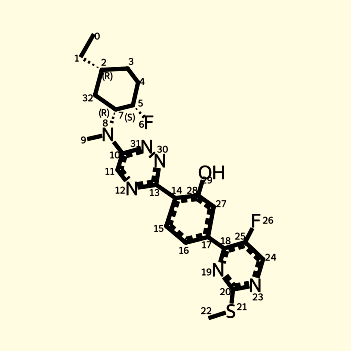 CC[C@@H]1CC[C@H](F)[C@H](N(C)c2cnc(-c3ccc(-c4nc(SC)ncc4F)cc3O)nn2)C1